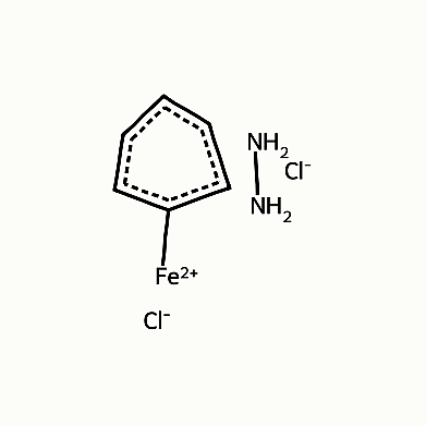 NN.[Cl-].[Cl-].[Fe+2][c]1ccccc1